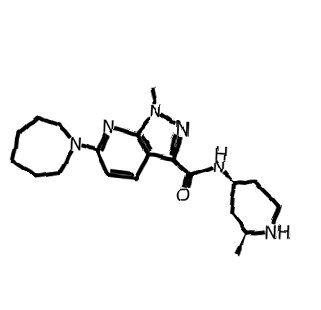 C[C@H]1C[C@@H](NC(=O)c2nn(C)c3nc(N4CCCCCC4)ccc23)CCN1